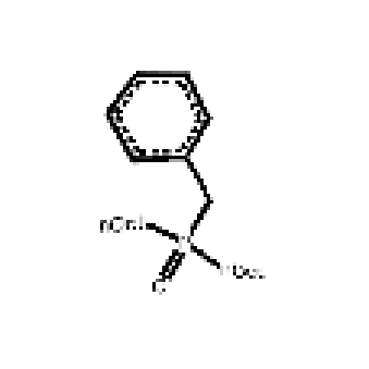 CCCCCCCCP(=O)(CCCCCCCC)Cc1ccccc1